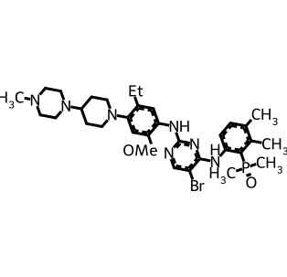 CCc1cc(Nc2ncc(Br)c(Nc3ccc(C)c(C)c3P(C)(C)=O)n2)c(OC)cc1N1CCC(N2CCN(C)CC2)CC1